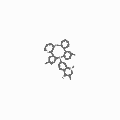 Cc1cn(C)c2cc(N3c4ccc(F)cc4-c4ccccc4Oc4ccccc4-c4cc(F)ccc43)ccc2c1=O